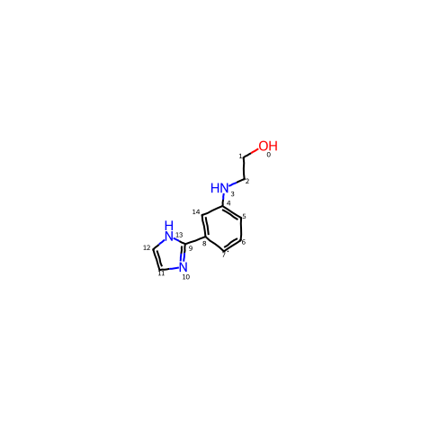 OCCNc1cc[c]c(-c2ncc[nH]2)c1